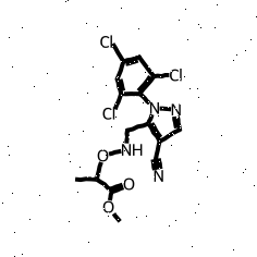 COC(=O)C(C)ONCc1c(C#N)cnn1-c1c(Cl)cc(Cl)cc1Cl